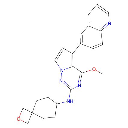 COc1nc(NC2CCC3(CC2)COC3)nn2ccc(-c3ccc4ncccc4c3)c12